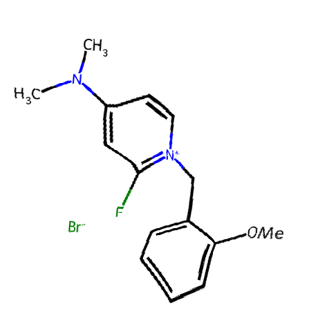 COc1ccccc1C[n+]1ccc(N(C)C)cc1F.[Br-]